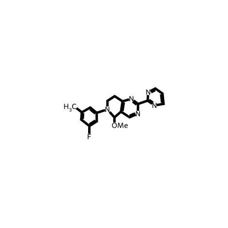 COC1c2cnc(-c3ncccn3)nc2CCN1c1cc(C)cc(F)c1